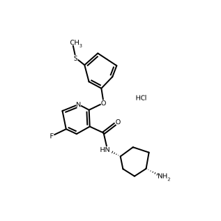 CSc1cccc(Oc2ncc(F)cc2C(=O)N[C@H]2CC[C@@H](N)CC2)c1.Cl